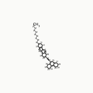 CCCCCCCCCCc1ccc2c(c1)sc1c3ccc(C#Cc4cc5ccccc5c5ccccc45)cc3sc21